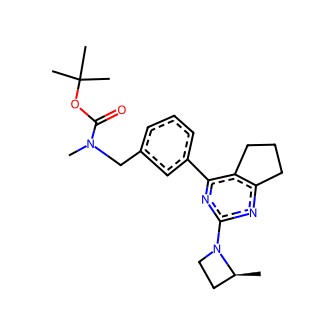 C[C@H]1CCN1c1nc2c(c(-c3cccc(CN(C)C(=O)OC(C)(C)C)c3)n1)CCC2